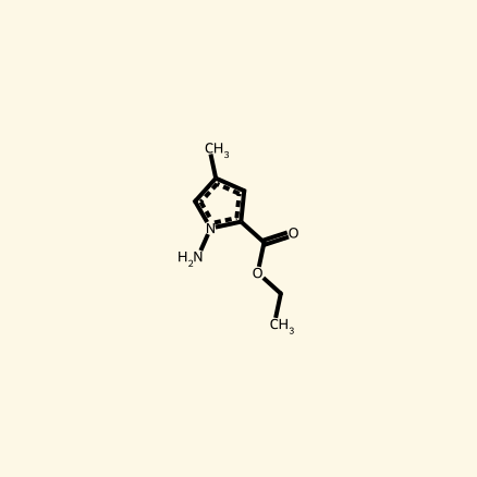 CCOC(=O)c1cc(C)cn1N